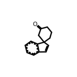 O=C1CCCC2(C=Cc3ccccc32)C1